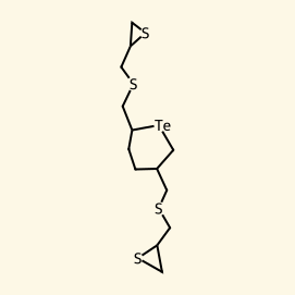 C1CC(CSCC2CS2)[Te]CC1CSCC1CS1